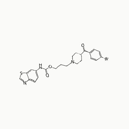 O=C(Nc1ccc2ncsc2c1)OCCCN1CCC(C(=O)c2ccc(Br)cc2)CC1